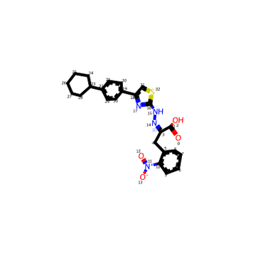 O=C(O)/C(Cc1ccccc1[N+](=O)[O-])=N\Nc1nc(-c2ccc(C3CCCCC3)cc2)cs1